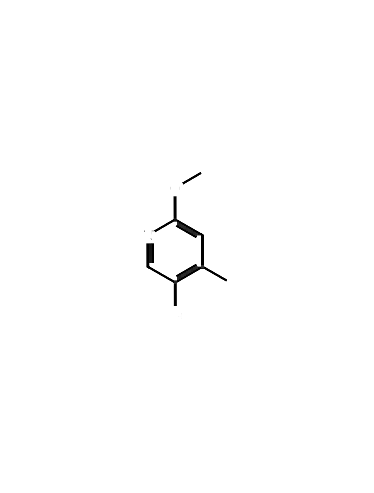 COc1cc(I)c(Br)cn1